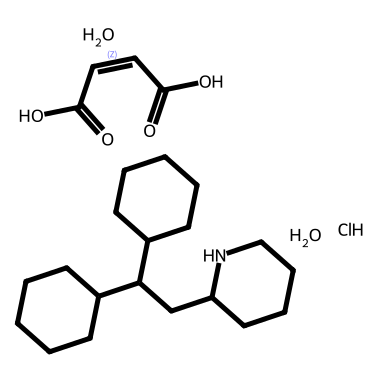 C1CCC(C(CC2CCCCN2)C2CCCCC2)CC1.Cl.O.O.O=C(O)/C=C\C(=O)O